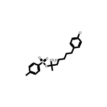 CCOC(=O)C(C)(CCCCCc1ccc(Cl)cc1)OS(=O)(=O)c1ccc(C)cc1